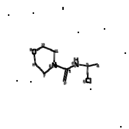 C=C(NC(C)Cl)N1CCOCC1